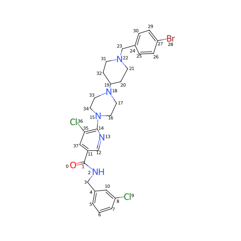 O=C(NCc1cccc(Cl)c1)c1cnc(N2CCN(C3CCN(Cc4ccc(Br)cc4)CC3)CC2)c(Cl)c1